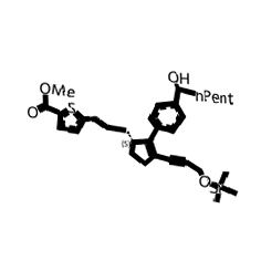 CCCCCC(O)c1ccc(C2=C(C#CCO[Si](C)(C)C)CC[C@@H]2CCCc2ccc(C(=O)OC)s2)cc1